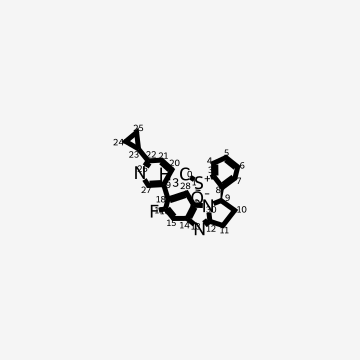 C[S+]([O-])c1ccccc1[C@H]1CCc2nc3cc(F)c(-c4ccc(C5CC5)nc4)cc3n21